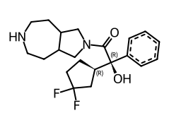 O=C(N1CC2CCNCCC2C1)[C@](O)(c1ccccc1)[C@@H]1CCC(F)(F)C1